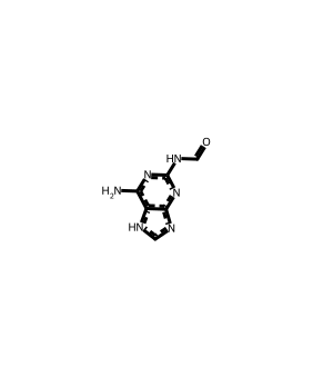 Nc1nc(NC=O)nc2nc[nH]c12